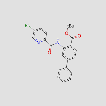 CC(C)(C)OC(=O)c1ccc(-c2ccccc2)cc1NC(=O)c1ccc(Br)cn1